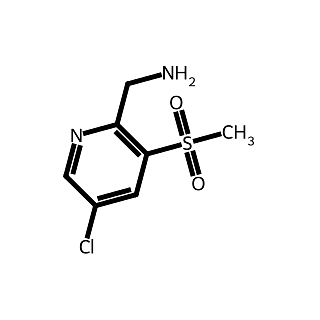 CS(=O)(=O)c1cc(Cl)cnc1CN